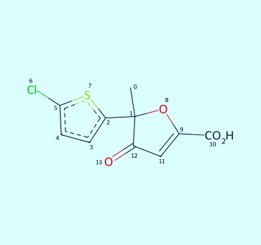 CC1(c2ccc(Cl)s2)OC(C(=O)O)=CC1=O